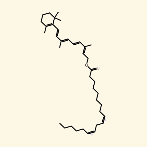 CCCCC/C=C\C/C=C\CCCCCCCC(=O)OCC=C(C)C=CC=C(C)C=CC1=C(C)CCCC1(C)C